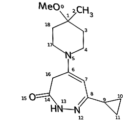 COC1(C)CCN(C2=CC(C3CC3)=NNC(=O)C2)CC1